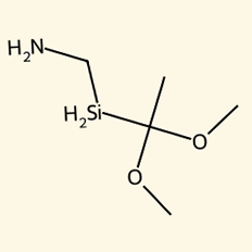 COC(C)(OC)[SiH2]CN